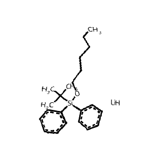 CCCCCCO[Si](c1ccccc1)(c1ccccc1)C(C)(C)C.[LiH]